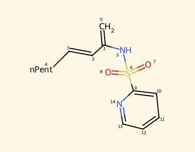 C=C(C=CCCCCC)NS(=O)(=O)c1ccccn1